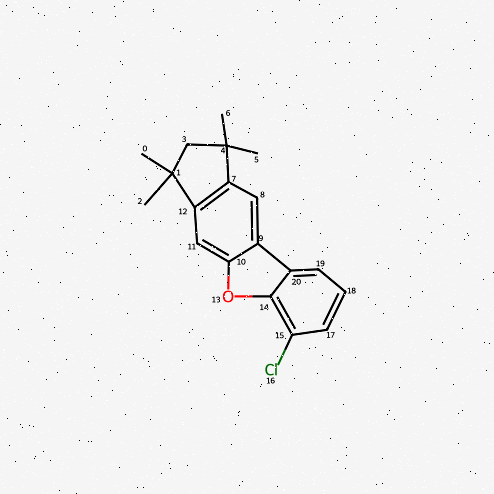 CC1(C)CC(C)(C)c2cc3c(cc21)oc1c(Cl)cccc13